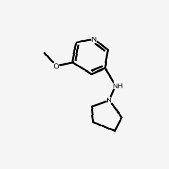 COc1cncc(NN2CCCC2)c1